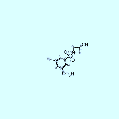 N#CC1CN(S(=O)(=O)c2cc(F)cc(C(=O)O)c2)C1